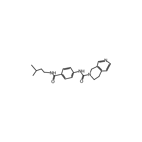 CC(C)CCNC(=O)c1ccc(NC(=O)N2CCc3ccncc3C2)cc1